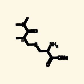 COC(=O)C(N)CSC[C@@H](C)C(=O)N(C)C